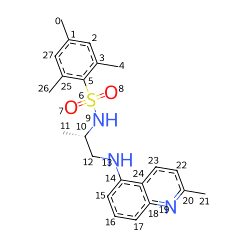 Cc1cc(C)c(S(=O)(=O)N[C@@H](C)CNc2cccc3nc(C)ccc23)c(C)c1